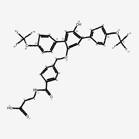 O=C(O)CCNC(=O)c1ccc(COc2cc(-c3ccc(OC(F)(F)F)cc3)c(O)cc2-c2ccc(OC(F)(F)F)cc2)cc1